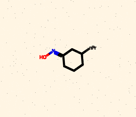 CCCC1CCC/C(=N\O)C1